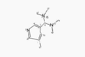 Cc1cncc(C(N(C)C)N(C)C)c1